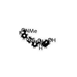 CNC(=O)c1cc(N2CCN(c3cccc(C(=O)N[C@H]4C5CC6CC4C[C@](O)(C6)C5)n3)[C@H](C)C2)ccc1F